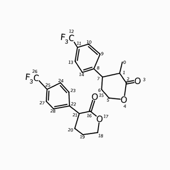 CC1C(=O)OCCC1c1ccc(C(F)(F)F)cc1.O=C1OCCCC1c1ccc(C(F)(F)F)cc1